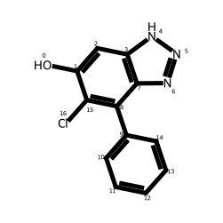 Oc1cc2[nH]nnc2c(-c2ccccc2)c1Cl